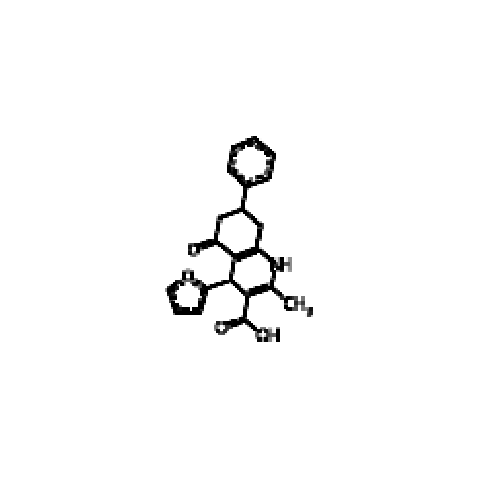 CC1=C(C(=O)O)C(c2ccco2)C2=C(CC(c3ccccc3)CC2=O)N1